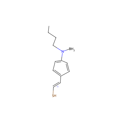 BN(CCCC)c1ccc(/C=C/S)cc1